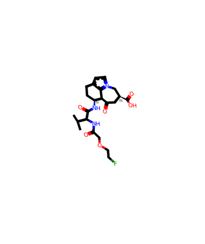 CC(C)C(NC(=O)COCCF)C(=O)N[C@H]1CCc2ccn3c2C1C(=O)C[C@H](C(=O)O)C3